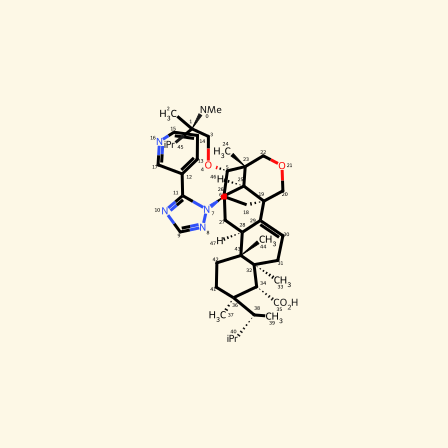 CN[C@@](C)(CO[C@H]1[C@H](n2ncnc2-c2cccnc2)C[C@@]23COC[C@]1(C)[C@@H]2CC[C@H]1C3=CC[C@@]2(C)[C@H](C(=O)O)[C@@](C)([C@H](C)C(C)C)CC[C@]12C)C(C)C